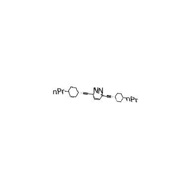 CCC[C@H]1CC[C@H](C#Cc2ccc(C#C[C@H]3CC[C@H](CCC)CC3)nn2)CC1